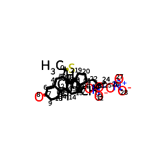 CC(=S)[C@@H]1CC2=CC(=O)CC[C@]2(C)[C@H]2CC[C@@]3(C)[C@@H](CC[C@]3(CCCO[N+](=O)[O-])O[N+](=O)[O-])[C@H]12